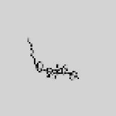 CCCCCCCCc1ccc(-c2cc3c(s2)sc2c4cc(-c5ccc(C)o5)sc4sc32)o1